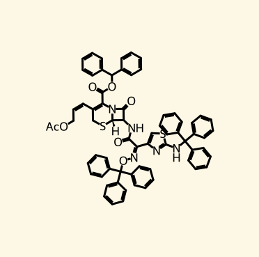 CC(=O)OC/C=C\C1=C(C(=O)OC(c2ccccc2)c2ccccc2)N2C(=O)C(NC(=O)/C(=N\OC(c3ccccc3)(c3ccccc3)c3ccccc3)c3csc(NC(c4ccccc4)(c4ccccc4)c4ccccc4)n3)[C@@H]2SC1